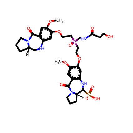 COc1cc2c(cc1OCCP(=O)(CCOc1cc3c(cc1OC)C(=O)N1CCC[C@H]1C(S(=O)(=O)O)N3)CNC(=O)CCO)NC[C@@H]1CCCN1C2=O